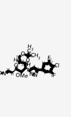 CO[C@@H]1[C@@H](n2cc(-c3cc(F)c(Cl)c(F)c3)nn2)[C@H]2OC(C)(C)OC[C@H]2O[C@@H]1CC=NO